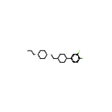 CCC[C@H]1CC[C@H](CCC2CCC(c3ccc(F)c(F)c3)CC2)CC1